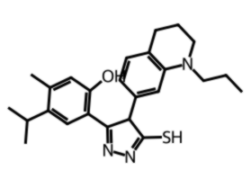 CCCN1CCCc2ccc(C3C(S)=NN=C3c3cc(C(C)C)c(C)cc3O)cc21